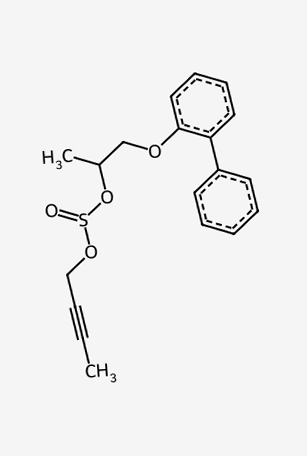 CC#CCOS(=O)OC(C)COc1ccccc1-c1ccccc1